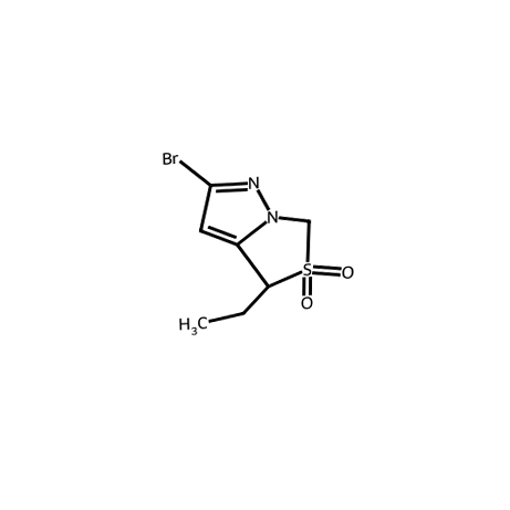 CCC1c2cc(Br)nn2CS1(=O)=O